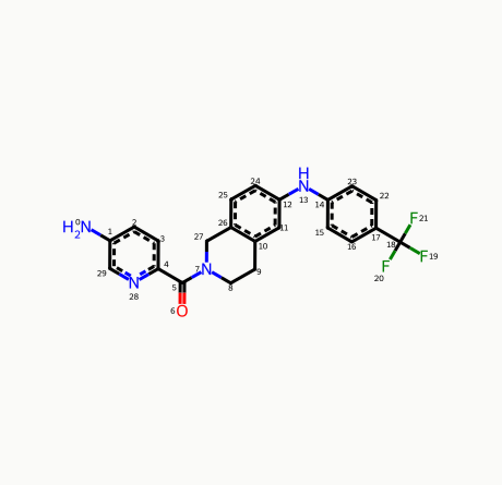 Nc1ccc(C(=O)N2CCc3cc(Nc4ccc(C(F)(F)F)cc4)ccc3C2)nc1